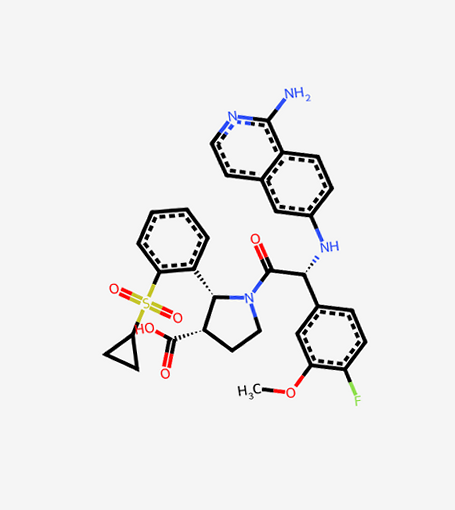 COc1cc([C@@H](Nc2ccc3c(N)nccc3c2)C(=O)N2CC[C@H](C(=O)O)[C@@H]2c2ccccc2S(=O)(=O)C2CC2)ccc1F